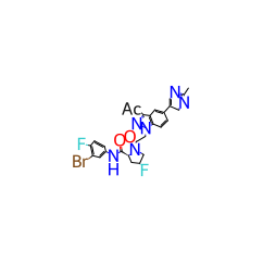 CC(=O)c1nn(CC(=O)N2C[C@H](F)C[C@H]2C(=O)Nc2ccc(F)c(Br)c2)c2ccc(-c3cnc(C)nc3)cc12